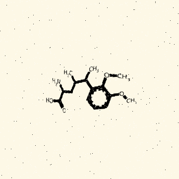 COc1cccc(C(C)C(C)CC(N)C(=O)O)c1OC